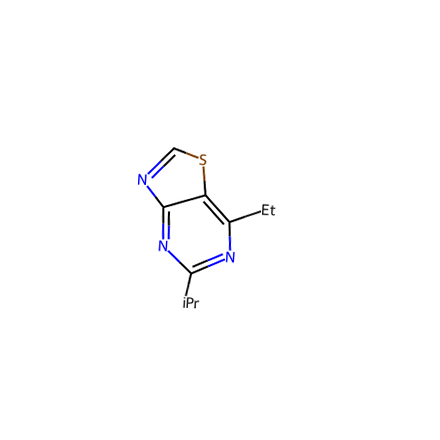 CCc1nc(C(C)C)nc2ncsc12